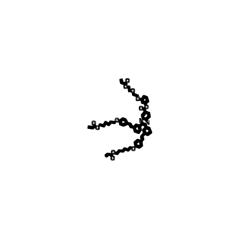 C=CC(=O)OCCCCCCOc1ccc(/C=C/c2cccc(-c3nc4ccc(C(=O)Oc5cccc(OCCOCCOC(=O)C=C)c5)cc4nc3-c3cccc(/C=C/c4ccc(OCCCCCCOC(=O)C=C)cc4)c3)c2)cc1